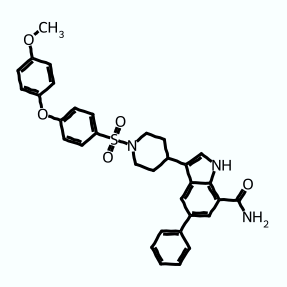 COc1ccc(Oc2ccc(S(=O)(=O)N3CCC(c4c[nH]c5c(C(N)=O)cc(-c6ccccc6)cc45)CC3)cc2)cc1